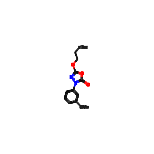 CCCCCCCCCCCCOc1nn(-c2cccc(OC)c2)c(=O)o1